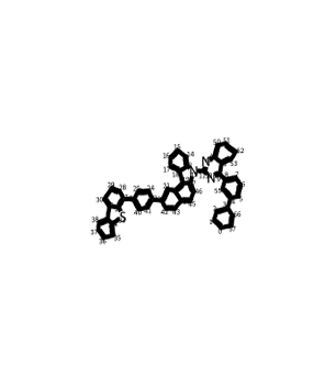 c1ccc(-c2cccc(-c3nc(-n4c5ccccc5c5c6cc(-c7ccc(-c8cccc9c8sc8ccccc89)cc7)ccc6ccc54)nc4ccccc34)c2)cc1